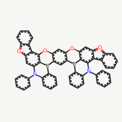 c1ccc(N2c3ccccc3B3c4cc5c(cc4Oc4c3c2cc2oc3ccccc3c42)Oc2cc3oc4ccccc4c3c3c2B5c2ccccc2N3c2ccccc2)cc1